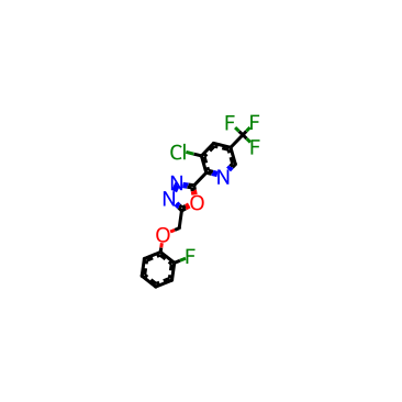 Fc1ccccc1OCc1nnc(-c2ncc(C(F)(F)F)cc2Cl)o1